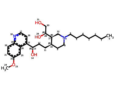 CCCCCCCN1CC[C@@H](CC[C@@H](O)c2ccnc3ccc(OC)cc23)[C@@H]([C@@H](O)CO)C1